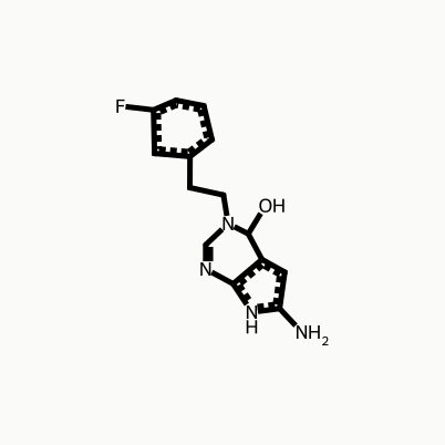 Nc1cc2c([nH]1)N=CN(CCc1cccc(F)c1)C2O